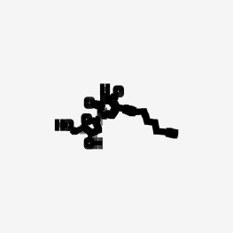 C#CCCCCC#Cc1cn([C@H]2C[C@H](O)[C@@H](CO)O2)c(=O)[nH]c1=O